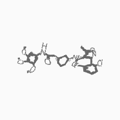 COc1cc(NC(=O)C[C@@H]2CCC[C@H](NC(=O)c3c(-c4c(F)cccc4Cl)noc3C)C2)cc(OC)c1OC